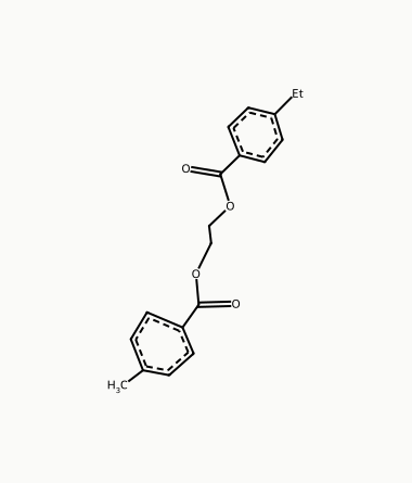 CCc1ccc(C(=O)OCCOC(=O)c2ccc(C)cc2)cc1